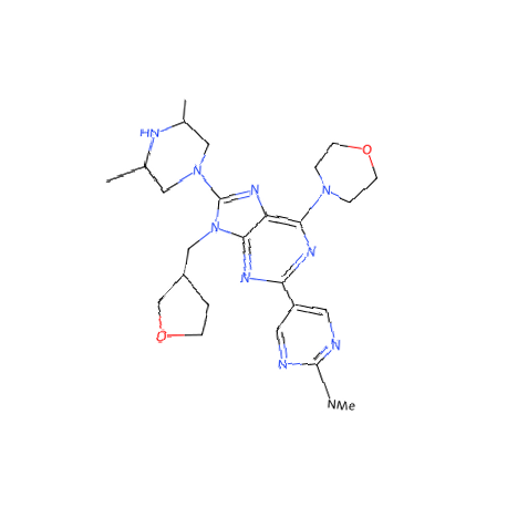 CNc1ncc(-c2nc(N3CCOCC3)c3nc(N4CC(C)NC(C)C4)n(CC4CCOC4)c3n2)cn1